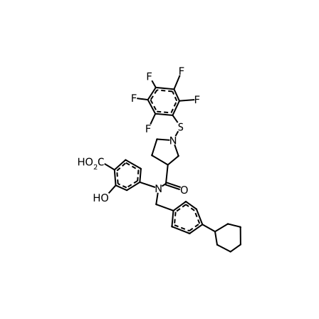 O=C(O)c1ccc(N(Cc2ccc(C3CCCCC3)cc2)C(=O)C2CCN(Sc3c(F)c(F)c(F)c(F)c3F)C2)cc1O